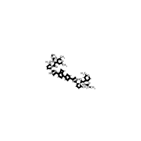 COC(=O)N[C@H](C(=O)N1[C@@H](C)CC[C@H]1c1nc(-c2ccc(-c3ccc(-c4c[nH]c([C@@H]5CC[C@H](C)N5C(=O)[C@@H](NC(=O)OC)C5C[C@@H](C)O[C@H](C)C5)n4)c4c3CC4)cc2)c[nH]1)C1CCO[C@H](C)C1